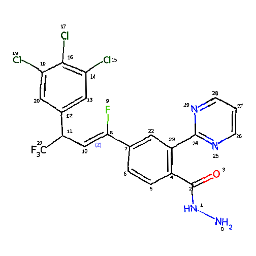 NNC(=O)c1ccc(/C(F)=C/C(c2cc(Cl)c(Cl)c(Cl)c2)C(F)(F)F)cc1-c1ncccn1